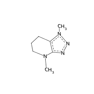 CN1CCCc2c1nnn2C